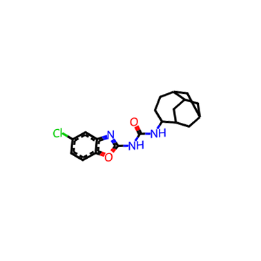 O=C(Nc1nc2cc(Cl)ccc2o1)NC1CCC2CC3CC2CC1C3